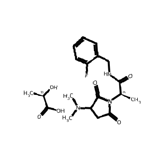 C[C@@H](O)C(=O)O.C[C@H](C(=O)NCc1ccccc1F)N1C(=O)CC(N(C)C)C1=O